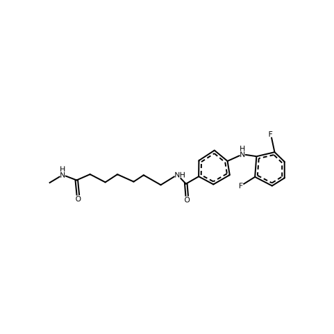 CNC(=O)CCCCCCNC(=O)c1ccc(Nc2c(F)cccc2F)cc1